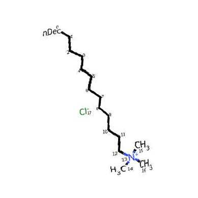 CCCCCCCCCCCCCCCCCCCCCC[N+](C)(C)C.[Cl-]